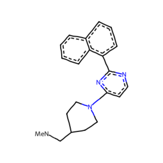 CNCC1CCN(c2ccnc(-c3cccc4ccccc34)n2)CC1